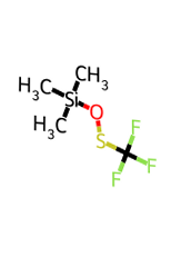 C[Si](C)(C)OSC(F)(F)F